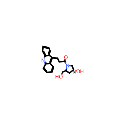 O=C(CCc1c2ccccc2nc2ccccc12)N1C[C@H](O)CC1CO